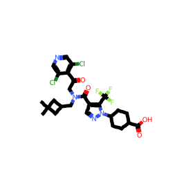 CC1(C)CC(CN(CC(=O)c2c(Cl)cncc2Cl)C(=O)c2cnn(C3CCC(C(=O)O)CC3)c2C(F)(F)F)C1